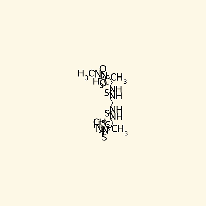 CCN1CC(=O)N(CC(C)(C)CCNC(=S)NCCCNC(=S)NCCC(C)(C)CN2C(=S)CN(CC)C2=S)C1=O